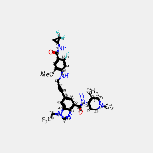 COc1cc(C(=O)NC2CC2(F)F)c(F)cc1NCC#Cc1cc(C(=O)N[C@H]2CCN(C)C[C@@H]2C)c2ncn(CC(F)(F)F)c2c1